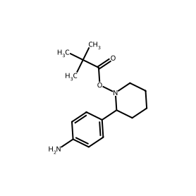 CC(C)(C)C(=O)ON1CCCCC1c1ccc(N)cc1